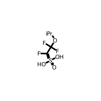 CC(C)OC(F)(F)C(F)=S(=O)(O)O